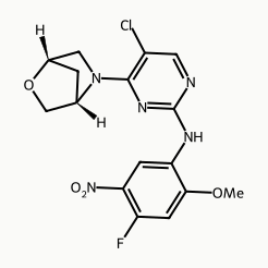 COc1cc(F)c([N+](=O)[O-])cc1Nc1ncc(Cl)c(N2C[C@@H]3C[C@H]2CO3)n1